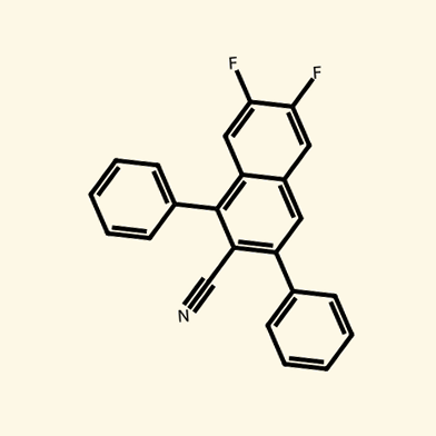 N#Cc1c(-c2ccccc2)cc2cc(F)c(F)cc2c1-c1ccccc1